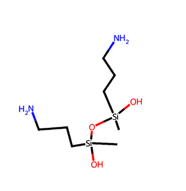 C[Si](O)(CCCN)O[Si](C)(O)CCCN